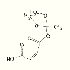 COC(C)(OC)OC(=O)/C=C\C(=O)O